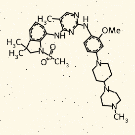 COc1cc(N2CCC(N3CCN(C)CC3)CC2)ccc1Nc1ncc(C)c(Nc2cccc3c2N(S(C)(=O)=O)CC3(C)C)n1